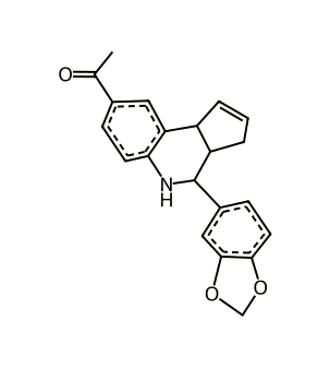 CC(=O)c1ccc2c(c1)C1C=CCC1C(c1ccc3c(c1)OCO3)N2